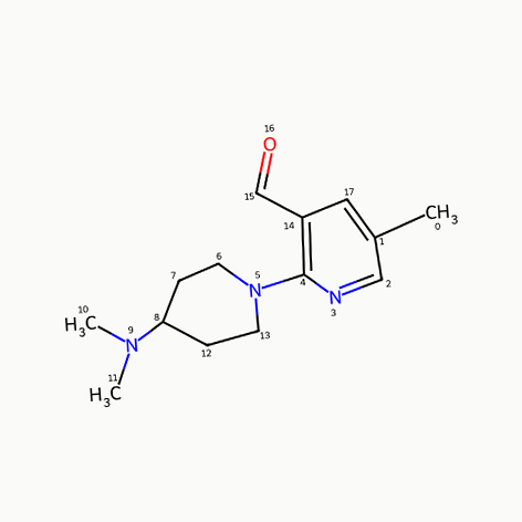 Cc1cnc(N2CCC(N(C)C)CC2)c(C=O)c1